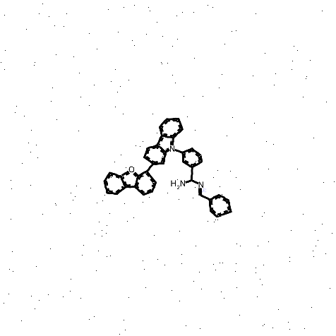 NC(/N=C/c1ccccc1)c1cccc(-n2c3ccccc3c3ccc(-c4cccc5c4oc4ccccc45)cc32)c1